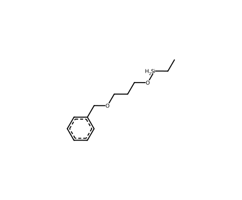 CC[SiH2]OCCCOCc1ccccc1